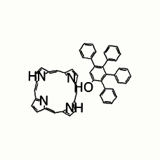 C1=Cc2cc3ccc(cc4nc(cc5ccc(cc1n2)[nH]5)C=C4)[nH]3.Oc1cc(-c2ccccc2)c(-c2ccccc2)c(-c2ccccc2)c1-c1ccccc1